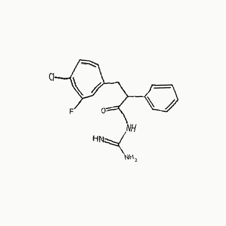 N=C(N)NC(=O)C(Cc1ccc(Cl)c(F)c1)c1ccccc1